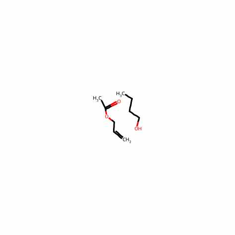 C=CCOC(C)=O.CCCCO